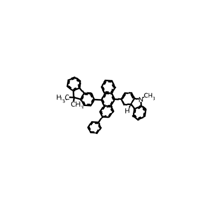 CN1C2=CC=C(c3c4ccccc4c(-c4ccc5c(c4)-c4ccccc4C5(C)C)c4cc(-c5ccccc5)ccc34)C[C@H]2c2ccccc21